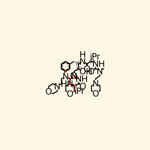 CC(C)[C@H](NC(=O)N(C)CCN1CCOCC1)C(=O)N[C@@H](Cc1ccccc1)[C@@H](O)CN(CC1CCOCC1)NC(=O)[C@@H](NC(=O)N(C)CCN1CCOCC1)C(C)C